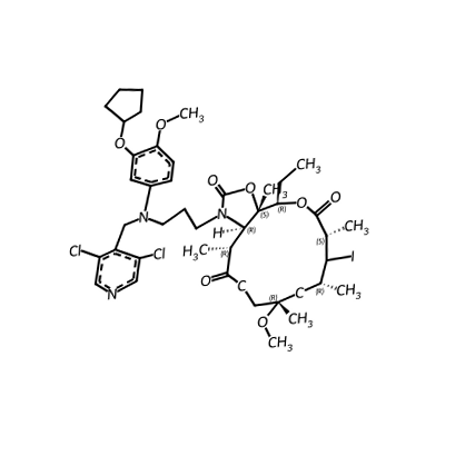 CC[C@H]1OC(=O)[C@H](C)C(I)[C@H](C)C[C@](C)(OC)CCC(=O)[C@H](C)[C@H]2N(CCCN(Cc3c(Cl)cncc3Cl)c3ccc(OC)c(OC4CCCC4)c3)C(=O)O[C@]12C